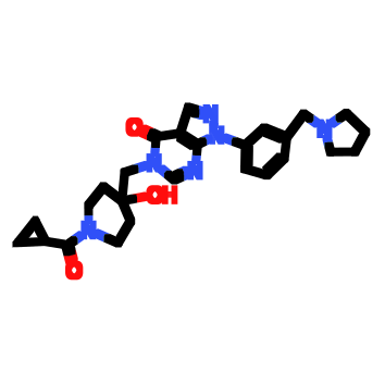 O=C(C1CC1)N1CCC(O)(Cn2cnc3c(cnn3-c3cccc(CN4CCCC4)c3)c2=O)CC1